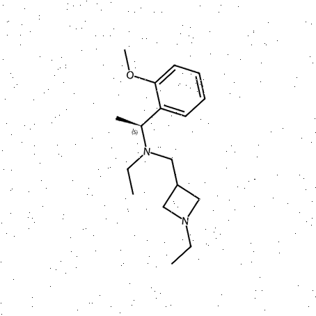 CCN1CC(CN(CC)[C@@H](C)c2ccccc2OC)C1